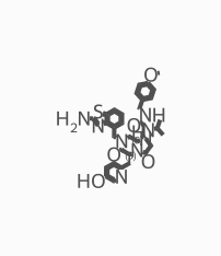 COc1ccc(CNC(=O)N(C(C)C)N2CC(=O)N3[C@@H](Cc4ccc(O)cn4)C(=O)N(Cc4cccc5sc(N)nc45)C[C@@H]32)cc1